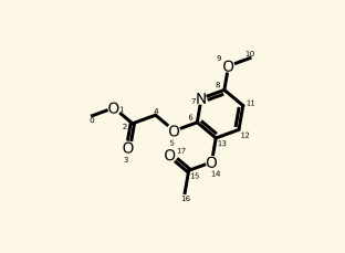 COC(=O)COc1nc(OC)ccc1OC(C)=O